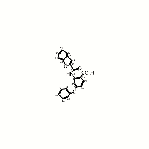 O=C(Nc1cc(Oc2ccccc2)ccc1C(=O)O)c1cc2ccccc2o1